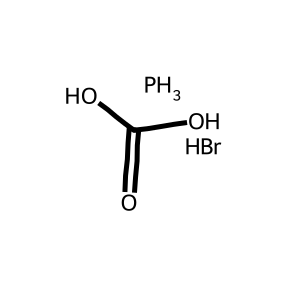 Br.O=C(O)O.P